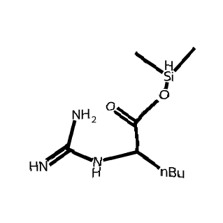 CCCCC(NC(=N)N)C(=O)O[SiH](C)C